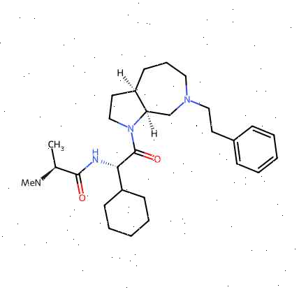 CN[C@@H](C)C(=O)N[C@H](C(=O)N1CC[C@H]2CCCN(CCc3ccccc3)C[C@H]21)C1CCCCC1